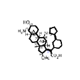 CC(=O)O[C@H]1C[C@@]2(C)[C@@H](C[C@H](N)[C@H]3[C@@]4(C)CC[C@@H](O)[C@@H](N)[C@@H]4CC[C@@]32N)/C1=C(/C(=O)O)C1CCCC(=C2CCCC2)C1